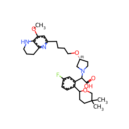 COc1cc(CCCCO[C@@H]2CCN(C(C(=O)O)c3cc(F)ccc3C3CCC(C)(C)CO3)C2)nc2c1NCCC2